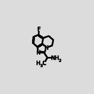 CC(N)c1nc2ccc(F)c3c2n1CCC3